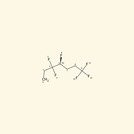 [CH2]CC(F)(F)[C@@H](F)CCC(F)(F)F